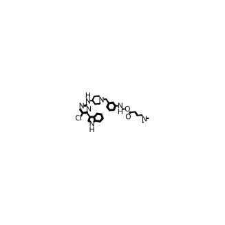 CN(C)C/C=C/C(=O)OCNc1cccc(CN2CCC(Nc3ncc(Cl)c(-c4c[nH]c5ccccc45)n3)CC2)c1